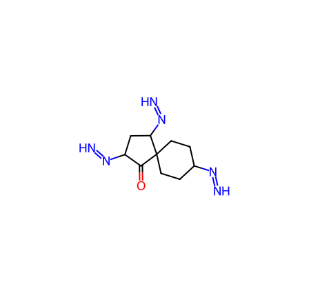 N=NC1CCC2(CC1)C(=O)C(N=N)CC2N=N